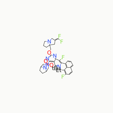 CCc1c(F)ccc2cccc(-c3ncc4c(N5CC6CCC(C5)N6C(=O)OC(C)(C)C)nc(OCC56CCCN5CC(=C(F)F)C6)nc4c3F)c12